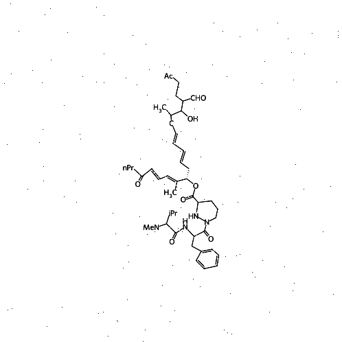 CCCC(=O)/C=C/C=C(\C)[C@H](C/C=C/C=C/CC(C)C(O)C(C=O)CCC(C)=O)OC(=O)C1CCCN(C(=O)C(Cc2ccccc2)NC(=O)C(NC)C(C)C)N1